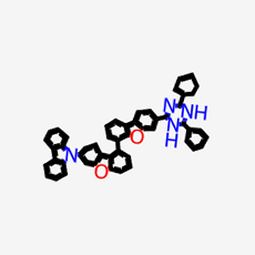 C1=CCCC(C2N=C(c3ccc4c(c3)oc3c(-c5cccc6oc7cc(-n8c9ccccc9c9ccccc98)ccc7c56)cccc34)NC(c3ccccc3)N2)=C1